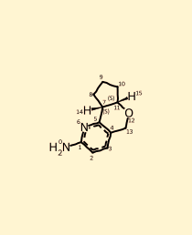 Nc1ccc2c(n1)[C@@H]1CCC[C@@H]1OC2